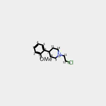 COc1ccccc1C1CCN(CCCl)CC1